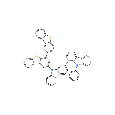 c1ccc(-n2c3ccccc3c3cccc(-c4ccc5c6ccccc6n(-c6cc(-c7ccc8sc9ccccc9c8c7)c7sc8ccccc8c7c6)c5c4)c32)cc1